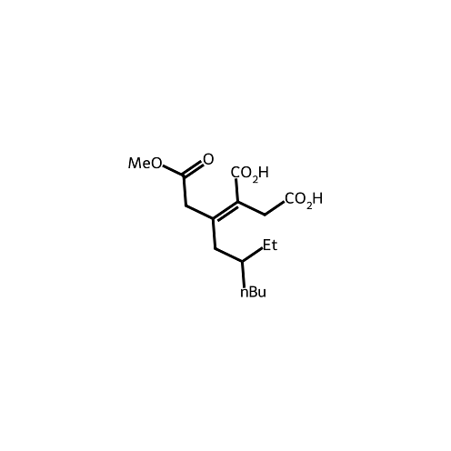 CCCCC(CC)CC(CC(=O)OC)=C(CC(=O)O)C(=O)O